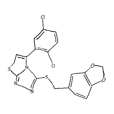 Clc1ccc(Cl)c(-c2csc3nnc(SCc4ccc5c(c4)OCO5)n23)c1